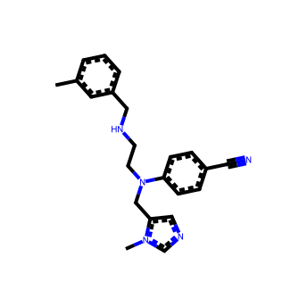 Cc1cccc(CNCCN(Cc2cncn2C)c2ccc(C#N)cc2)c1